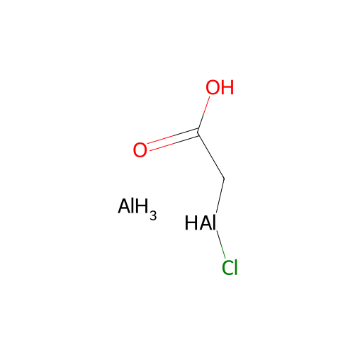 O=C(O)[CH2][AlH][Cl].[AlH3]